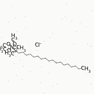 CCCCCCCCCCCCCCCCCC[Si](C)(C)[N+](OC)(OC)OC.[Cl-]